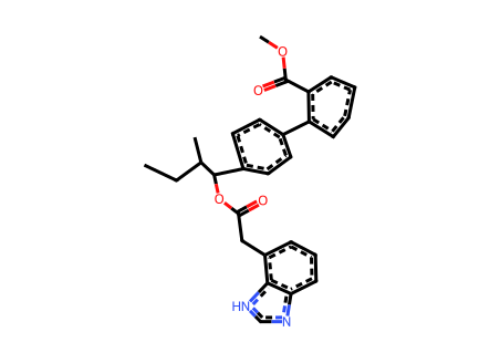 CCC(C)C(OC(=O)Cc1cccc2nc[nH]c12)c1ccc(-c2ccccc2C(=O)OC)cc1